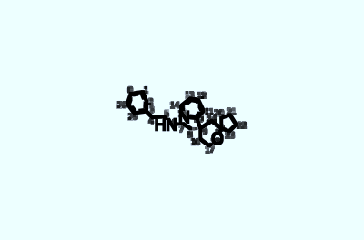 c1ccc(CCNCC[C@@]2(c3ccccn3)CCOC3(CCCC3)C2)cc1